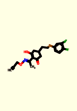 C#CCO/N=C(\C)C1=C(O)CC(CCSc2ccc(F)c(F)c2)CC1=O